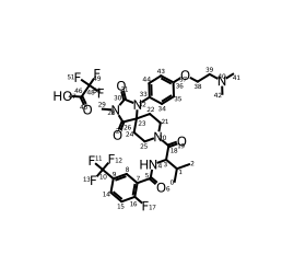 CC(C)C(NC(=O)c1cc(C(F)(F)F)ccc1F)C(=O)N1CCC2(CC1)C(=O)N(C)C(=O)N2c1ccc(OCCN(C)C)cc1.O=C(O)C(F)(F)F